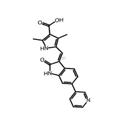 Cc1[nH]c(/C=C2\C(=O)Nc3cc(-c4cccnc4)ccc32)c(C)c1C(=O)O